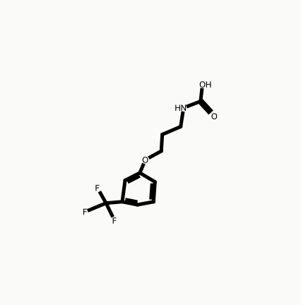 O=C(O)NCCCOc1cccc(C(F)(F)F)c1